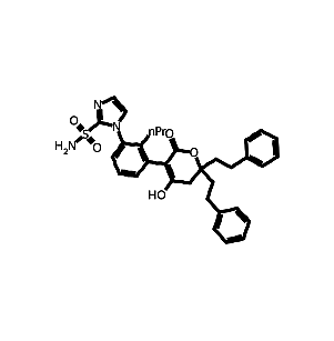 CCCc1c(C2=C(O)CC(CCc3ccccc3)(CCc3ccccc3)OC2=O)cccc1-n1ccnc1S(N)(=O)=O